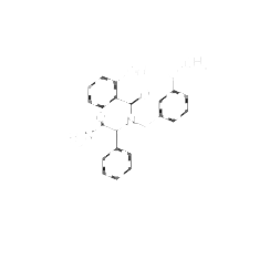 COc1cccc(CN(C(=O)c2ccccc2O)C(C(N)=O)c2ccccc2)c1